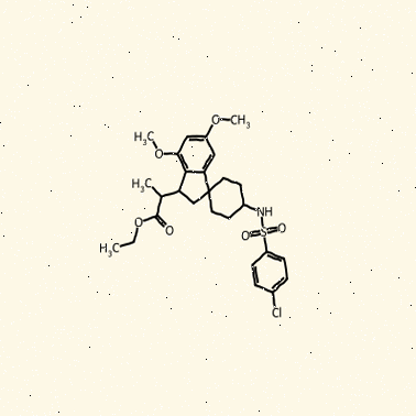 CCOC(=O)C(C)C1CC2(CCC(NS(=O)(=O)c3ccc(Cl)cc3)CC2)c2cc(OC)cc(OC)c21